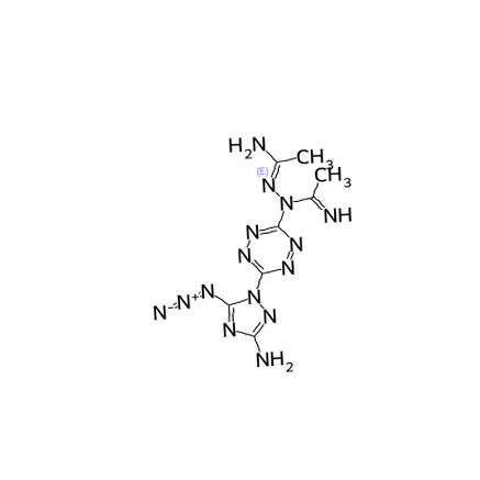 CC(=N)N(/N=C(\C)N)c1nnc(-n2nc(N)nc2N=[N+]=[N-])nn1